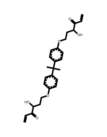 C=CC(=O)C(O)CCOc1ccc(C(C)(C)c2ccc(OCCC(O)C(=O)C=C)cc2)cc1